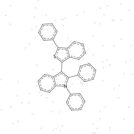 c1ccc(-c2sc(-c3c(-c4ccccc4)n(-c4ccccc4)c4ccccc34)c3ccccc23)cc1